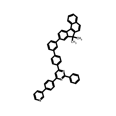 CC1(C)c2cc(-c3cccc(-c4ccc(-c5cc(-c6ccc(-c7cccnc7)cc6)nc(-c6ccccc6)n5)cc4)c3)ccc2-c2c1ccc1ccccc21